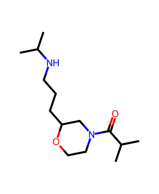 CC(C)NCCCC1CN(C(=O)C(C)C)CCO1